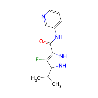 CC(C)C1NNC(C(=O)Nc2cccnc2)=C1F